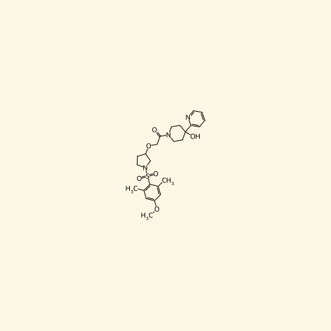 COc1cc(C)c(S(=O)(=O)N2CCC(OCC(=O)N3CCC(O)(c4ccccn4)CC3)C2)c(C)c1